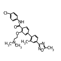 Cc1nc(-c2ccc(-c3ccc(C(=O)Nc4ccc(Cl)cc4)c(OCCN(C)C)c3)c(C)c2)no1